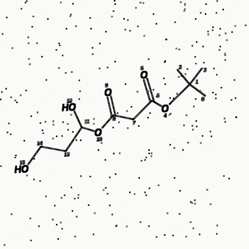 CC(C)(C)OC(=O)CC(=O)OC(O)CCO